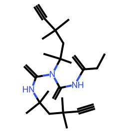 C#CC(C)(C)CC(C)(C)NC(=C)N(C(=C)NC(=C)CC)C(C)(C)CC(C)(C)C#C